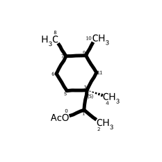 CC(=O)OC(C)[C@@]1(C)CCC(C)C(C)C1